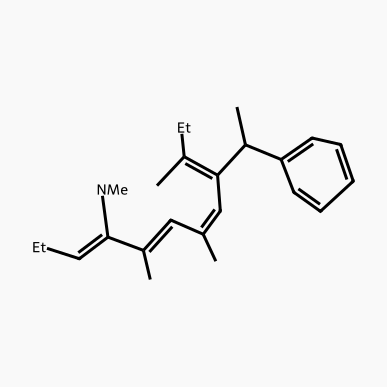 CC/C=C(NC)/C(C)=C/C(C)=C\C(=C(/C)CC)C(C)c1ccccc1